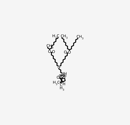 CCCCCCCCC(CC)OC(=O)CCCCCCCN(CCCCCCCC(=O)OC(CCCCCCCC)CCCCCCCC)CCCNS(=O)(=O)[C@@]12CC[C@@H]3C(C)(C)C31C2=O